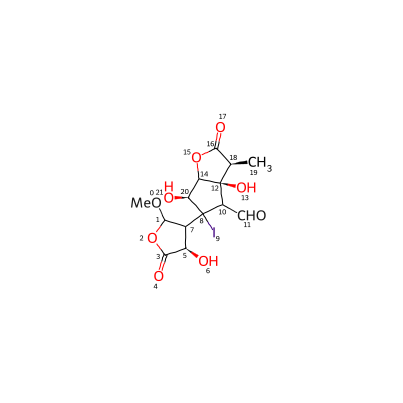 COC1OC(=O)[C@H](O)C1C1(I)C(C=O)[C@]2(O)C(OC(=O)[C@H]2C)[C@@H]1O